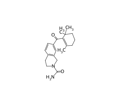 CC1=C(C(=O)c2ccc3c(c2)CN(C(N)=O)CC3)C(C)(C)CCC1